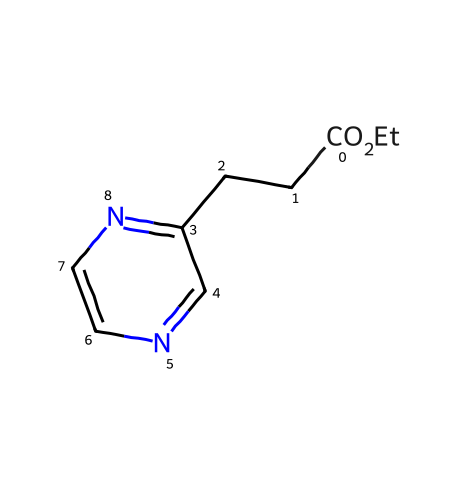 CCOC(=O)CCc1cnccn1